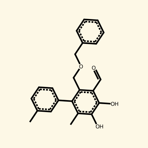 Cc1cccc(-c2c(C)c(O)c(O)c(C=O)c2COCc2ccccc2)c1